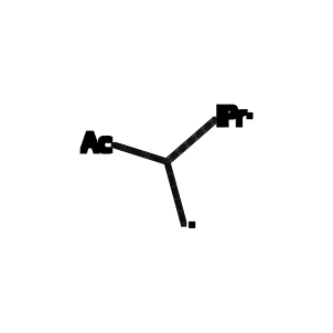 [CH2]C([C](C)C)C(C)=O